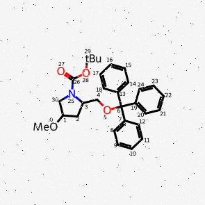 COC1CC(COC(c2ccccc2)(c2ccccc2)c2ccccc2)N(C(=O)OC(C)(C)C)C1